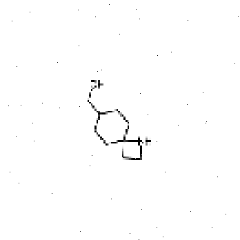 OCC1CCC2(CCN2)CC1